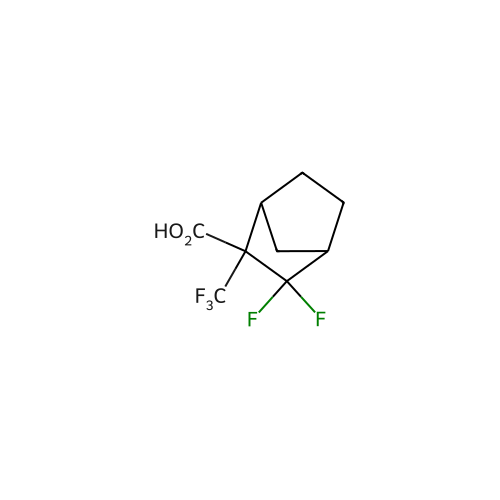 O=C(O)C1(C(F)(F)F)C2CCC(C2)C1(F)F